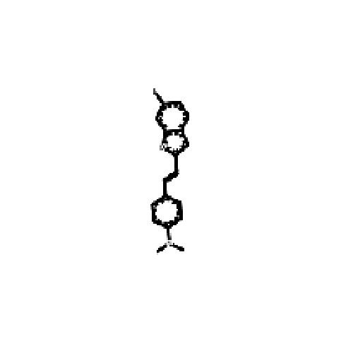 CN(C)c1ccc(C=Cc2cc3ccc(I)cc3o2)cc1